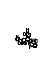 COc1ccncc1-c1ccc2c(c1)c1c(=O)[nH]ccc1c1[nH]c(-c3c(F)cccc3Cl)nc21